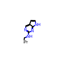 CC(C)CNc1ncc2cc[nH]c2n1